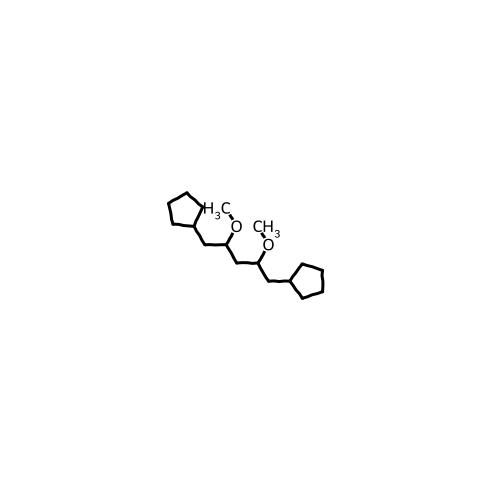 COC(CC1CCCC1)CC(CC1CCCC1)OC